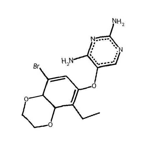 CCC1=C(Oc2cnc(N)nc2N)C=C(Br)C2OCCOC12